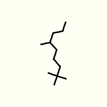 CCCC(C)CCCC(C)(C)C